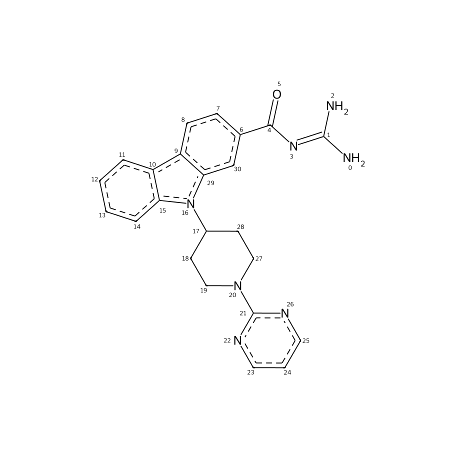 NC(N)=NC(=O)c1ccc2c3ccccc3n(C3CCN(c4ncccn4)CC3)c2c1